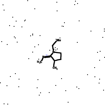 C/N=C1\C(C)CCN1CC(C)(C)C